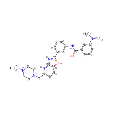 CN(C)c1cccc(C(=O)Nc2cccc(-c3nc4nc(CN5CCN(C(=O)O)CC5)ccc4o3)c2)c1